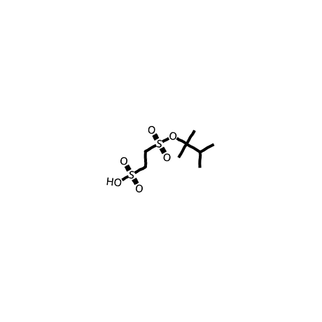 CC(C)C(C)(C)OS(=O)(=O)CCS(=O)(=O)O